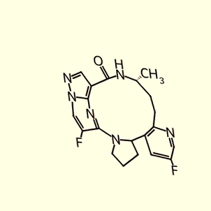 C[C@@H]1CCc2ncc(F)cc2C2CCCN2c2nc3c(cnn3cc2F)C(=O)N1